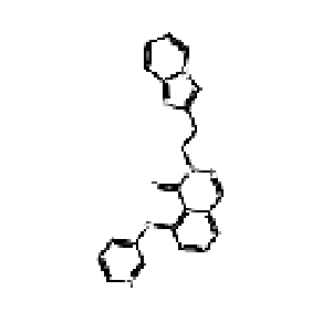 O=c1c2c(Oc3cccnc3)cccc2cnn1CCc1cn2ccccc2n1